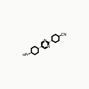 CCC[C@H]1CC[C@H](c2cnc([C@H]3CC[C@H](C#N)CC3)nc2)CC1